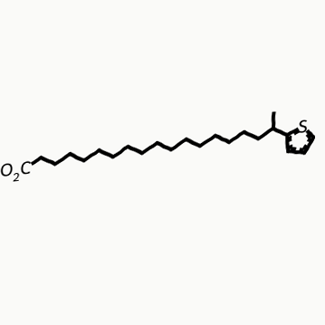 CC(CCCCCCCCCCCCCCCCC(=O)O)c1cccs1